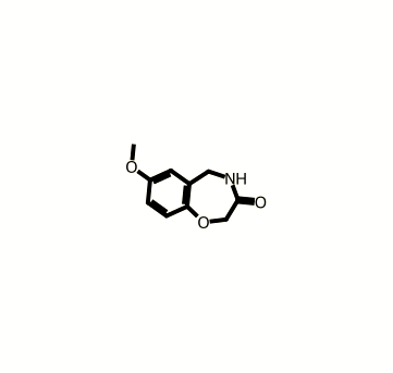 COc1ccc2c(c1)CNC(=O)CO2